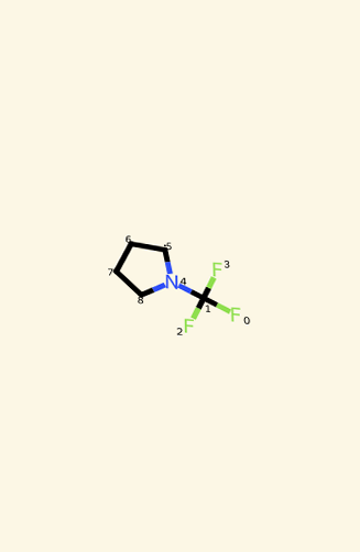 FC(F)(F)N1[CH]CCC1